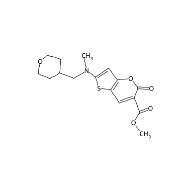 COC(=O)c1cc2sc(N(C)CC3CCOCC3)cc2oc1=O